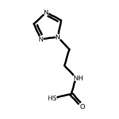 O=C(S)NCCn1cncn1